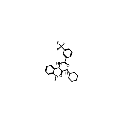 COc1ccccc1C(NC(=O)c1cccc(C(F)(F)F)c1)C(=O)NC1CCCCC1